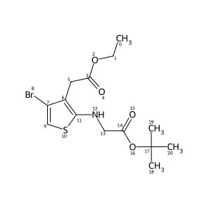 CCOC(=O)Cc1c(Br)csc1NCC(=O)OC(C)(C)C